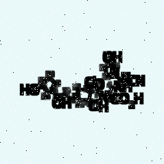 N#C/N=C(\NCC(NC(=O)c1c(Cl)cc(CCC(O)c2cccc(O)c2)cc1Cl)C(=O)O)N1CC[C@H](O)C1